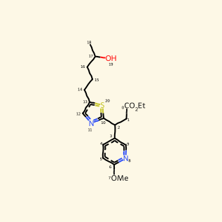 CCOC(=O)CC(c1ccc(OC)nc1)c1ncc(CCCC(C)O)s1